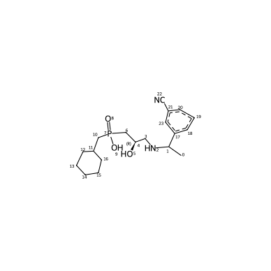 CC(NC[C@@H](O)CP(=O)(O)CC1CCCCC1)c1cccc(C#N)c1